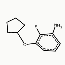 Nc1cccc(OC2CCCC2)c1F